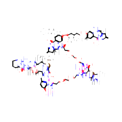 C=C1C[C@H]2CN(C(=O)CCOCCOCCNC(=O)C3SC4(C(C)C)N(I)C4(CCC)SC3C(=O)NCCOCCOCCC(=O)Nc3cc(C[C@@H](CC(C)C(=O)O)NC(=O)c4csc([C@@H](C[C@H](C(C)C)N(C)C(=O)[C@@H](NC(=O)[C@H]5CCCCN5C)[C@@H](C)CC)OC(C)=O)n4)ccc3O)c3cc(OCCCCCOc4cc5c(cc4OC)C(=O)N4CC(=C)C[C@H]4C=N5)c(OC)cc3C(=O)N2C1